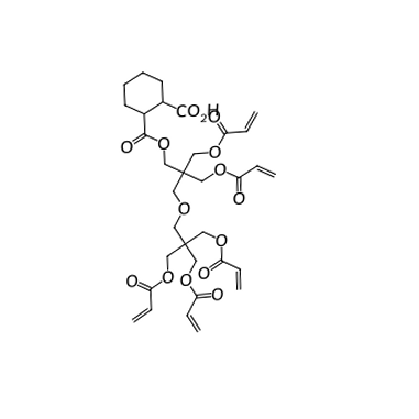 C=CC(=O)OCC(COCC(COC(=O)C=C)(COC(=O)C=C)COC(=O)C1CCCCC1C(=O)O)(COC(=O)C=C)COC(=O)C=C